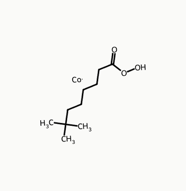 CC(C)(C)CCCCCC(=O)OO.[Co]